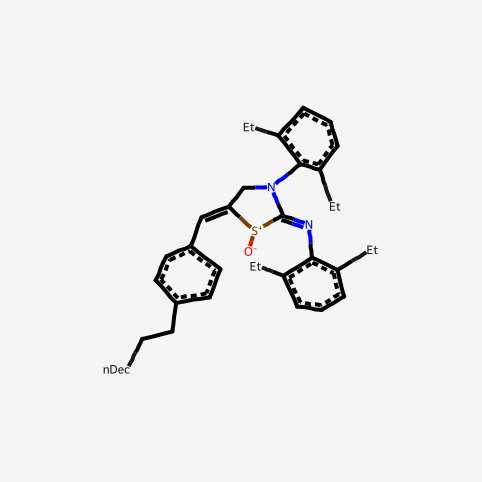 CCCCCCCCCCCCc1ccc(C=C2CN(c3c(CC)cccc3CC)C(=Nc3c(CC)cccc3CC)[S+]2[O-])cc1